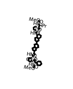 COC(=O)N[C@H](C(=O)N1CCC[C@H]1c1nc2c([nH]1)-c1ccc(-c3ccc4cc(-c5cnc([C@@H]6COCCN6C(=O)[C@H](NC(=O)OC)c6ccccc6)[nH]5)ccc4c3)cc1CC2)C(C)C